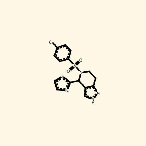 O=S(=O)(c1ccc(Cl)cc1)N1CCc2n[nH]cc2C1c1nccs1